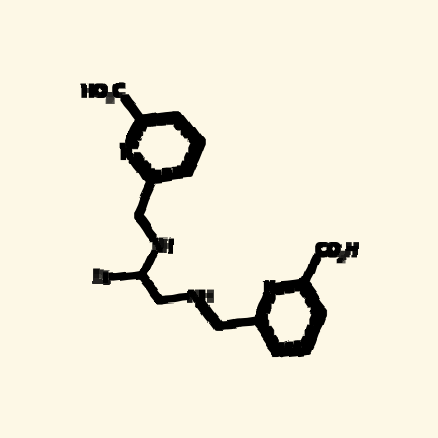 CCC(CNCc1cccc(C(=O)O)n1)NCc1cccc(C(=O)O)n1